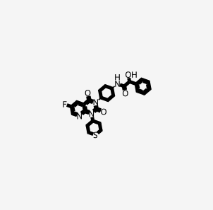 O=C(N[C@H]1CC[C@@H](n2c(=O)c3cc(F)cnc3n(C3CCSCC3)c2=O)CC1)C(O)c1ccccc1